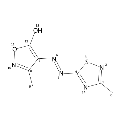 Cc1nsc(N=Nc2c(C)noc2O)n1